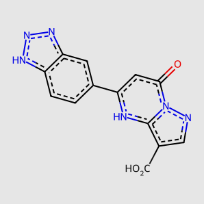 O=C(O)c1cnn2c(=O)cc(-c3ccc4[nH]nnc4c3)[nH]c12